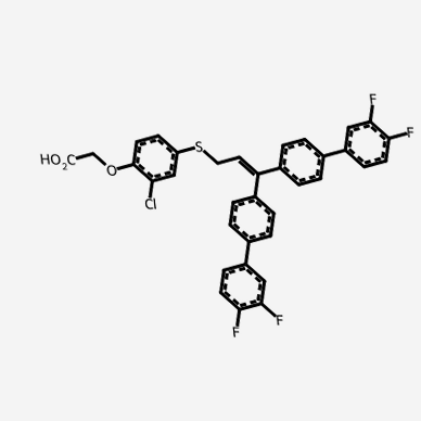 O=C(O)COc1ccc(SCC=C(c2ccc(-c3ccc(F)c(F)c3)cc2)c2ccc(-c3ccc(F)c(F)c3)cc2)cc1Cl